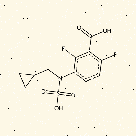 O=C(O)c1c(F)ccc(N(CC2CC2)S(=O)(=O)O)c1F